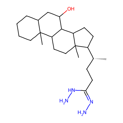 C[C@H](CC/C(=N/N)NN)C1CCC2C3C(O)CC4CCCCC4(C)C3CCC21C